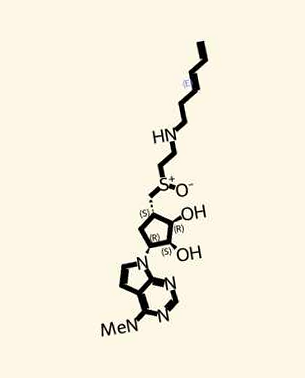 C=C/C=C/CCNCC[S+]([O-])C[C@H]1C[C@@H](n2ccc3c(NC)ncnc32)[C@H](O)[C@@H]1O